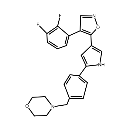 Fc1cccc(-c2cnoc2-c2c[nH]c(-c3ccc(CN4CCOCC4)cc3)c2)c1F